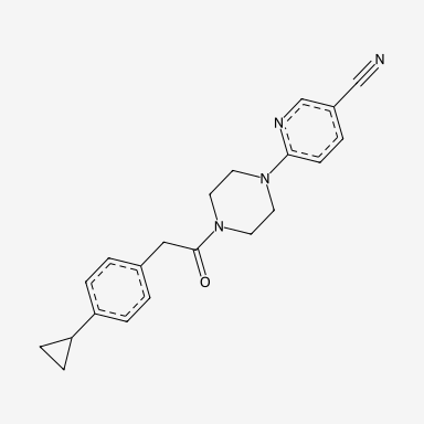 N#Cc1ccc(N2CCN(C(=O)Cc3ccc(C4CC4)cc3)CC2)nc1